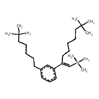 CC(C)(C)CCCCC/C(=C\[Si](C)(C)C)c1cccc(CCCCCC(C)(C)C)c1